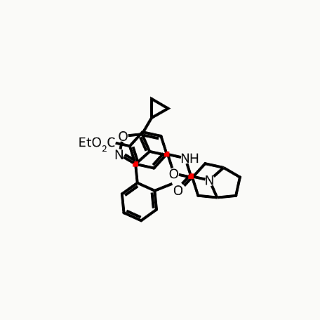 CCOC(=O)c1ccc(NC(=O)N2C3CCC2CC(OCc2c(-c4ccccc4C)noc2C2CC2)C3)cc1